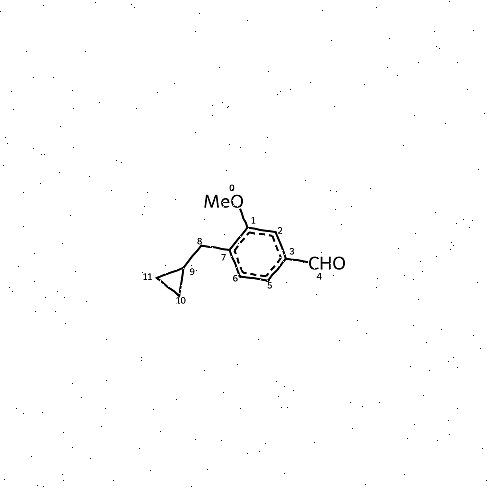 COc1cc(C=O)ccc1CC1CC1